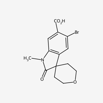 CN1C(=O)C2(CCOCC2)c2cc(Br)c(C(=O)O)cc21